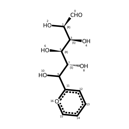 O=C[C@H](O)[C@@H](O)[C@H](O)[C@H](O)C(O)c1cccc[o+]1